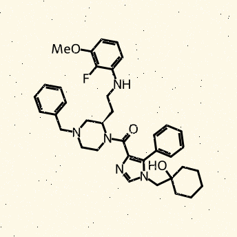 COc1cccc(NCC[C@@H]2CN(Cc3ccccc3)CCN2C(=O)c2ncn(CC3(O)CCCCC3)c2-c2ccccc2)c1F